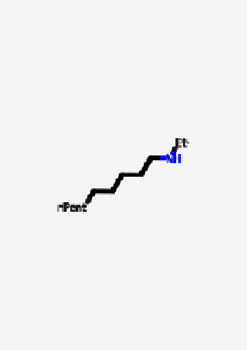 C[CH]NCCCCCCCCCC